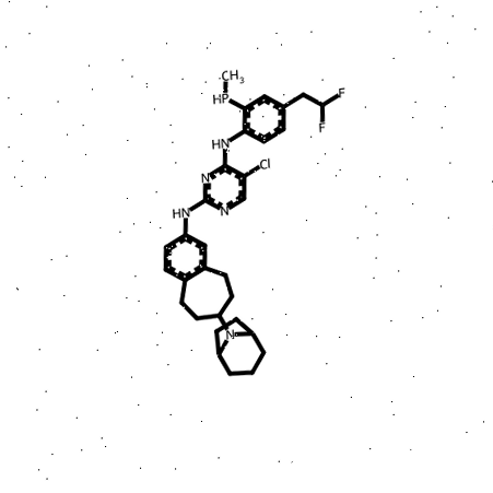 CPc1cc(CC(F)F)ccc1Nc1nc(Nc2ccc3c(c2)CCC(N2C4CCCC2CC4)CC3)ncc1Cl